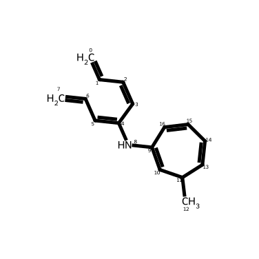 C=C/C=C\C(=C/C=C)NC1=CC(C)C=CC=C1